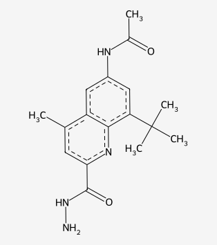 CC(=O)Nc1cc(C(C)(C)C)c2nc(C(=O)NN)cc(C)c2c1